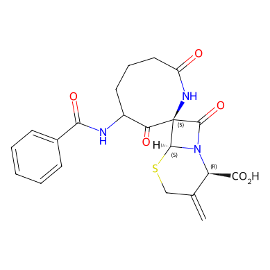 C=C1CS[C@@H]2N(C(=O)[C@]23NC(=O)CCCC(NC(=O)c2ccccc2)C3=O)[C@H]1C(=O)O